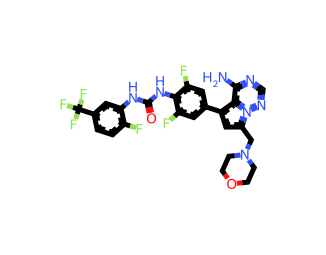 Nc1ncnn2c(CN3CCOCC3)cc(-c3cc(F)c(NC(=O)Nc4cc(C(F)(F)F)ccc4F)c(F)c3)c12